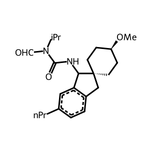 CCCc1ccc2c(c1)C(NC(=O)N(C=O)C(C)C)[C@]1(CC[C@H](OC)CC1)C2